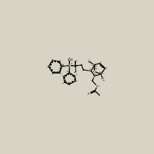 CC(=O)OC[C@H]1[C@@H](CCC(C)(C)[Si](O)(c2ccccc2)c2ccccc2)[C@@H]2C=C[C@H]1O2